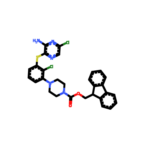 Nc1nc(Cl)cnc1Sc1cccc(N2CCN(C(=O)OCC3c4ccccc4-c4ccccc43)CC2)c1Cl